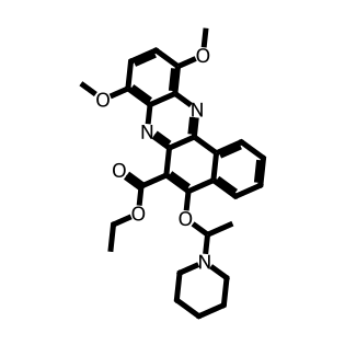 CCOC(=O)c1c(OC(C)N2CCCCC2)c2ccccc2c2nc3c(OC)ccc(OC)c3nc12